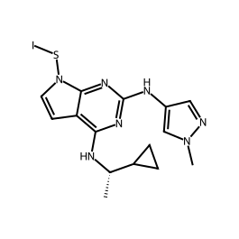 C[C@H](Nc1nc(Nc2cnn(C)c2)nc2c1ccn2SI)C1CC1